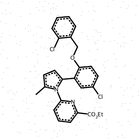 CCOC(=O)c1cccc(-n2c(C)ccc2-c2cc(Cl)ccc2OCc2ccccc2Cl)n1